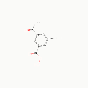 COC(=O)c1cc(C(=O)O)cc(C(=O)OO)c1